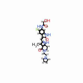 Cc1c(/C=C2\C(=O)Nc3cc(NC(=O)CO)c(F)cc32)[nH]c2c1C(=O)N(CCN1CCCC1)CC2